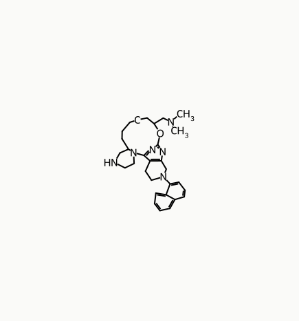 CN(C)CC1CCCCCC2CNCCN2c2nc(nc3c2CCN(c2cccc4ccccc24)C3)O1